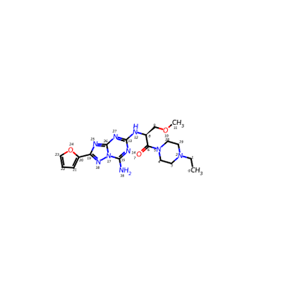 CCN1CCN(C(=O)[C@H](COC)Nc2nc(N)n3nc(-c4ccco4)nc3n2)CC1